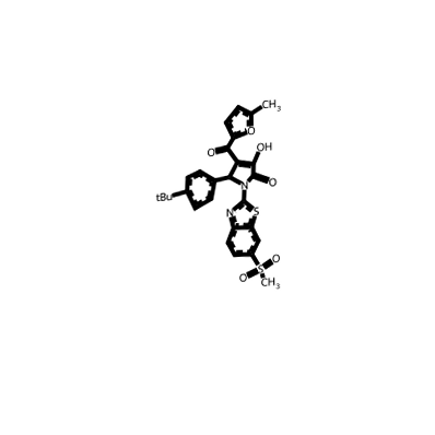 Cc1ccc(C(=O)C2=C(O)C(=O)N(c3nc4ccc(S(C)(=O)=O)cc4s3)C2c2ccc(C(C)(C)C)cc2)o1